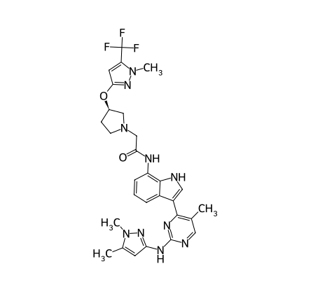 Cc1cnc(Nc2cc(C)n(C)n2)nc1-c1c[nH]c2c(NC(=O)CN3CC[C@@H](Oc4cc(C(F)(F)F)n(C)n4)C3)cccc12